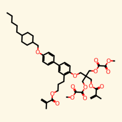 C=C(C)C(=O)OCCCc1cc(-c2ccc(OCC3CCC(CCCCC)CC3)cc2)ccc1OCC(COC(=O)C(=C)C)(COC(=O)C(=O)OC)COC(=O)C(=O)OC